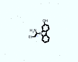 CC/C=C(\N)n1c2ccccc2c2ccc(O)cc21